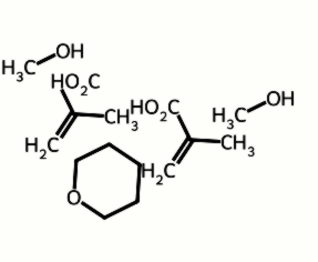 C1CCOCC1.C=C(C)C(=O)O.C=C(C)C(=O)O.CO.CO